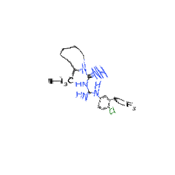 CC1CCCCN1C(=N)NC(=N)Nc1ccc(Cl)c(C(F)(F)F)c1